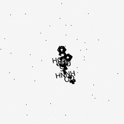 CSc1sc(C(=N)NC(=O)OC(C)(C)C)cc1S(=O)(=O)c1cccc(-c2ccccc2C)c1CO